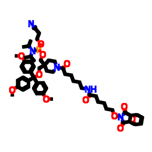 COc1ccc(C(OCC2(COP(OCCC#N)N(C(C)C)C(C)C)CCN(C(=O)CCCCCNC(=O)CCCCCON3C(=O)C4C5C=CC(O5)C4C3=O)CC2)(c2ccc(OC)cc2)c2ccc(OC)cc2)cc1